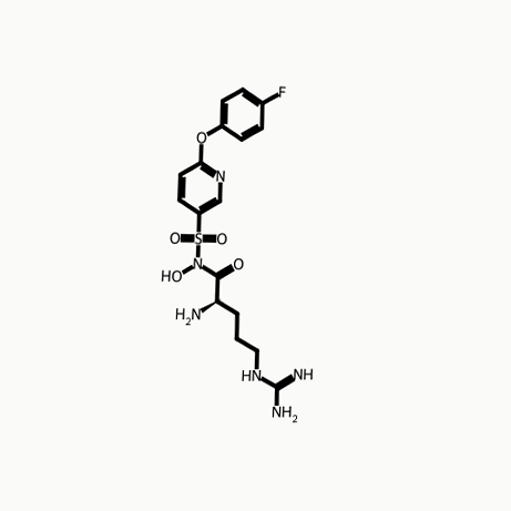 N=C(N)NCCC[C@@H](N)C(=O)N(O)S(=O)(=O)c1ccc(Oc2ccc(F)cc2)nc1